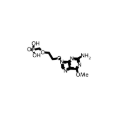 COc1nc(N)nc2c1ncn2OCCOCP(=O)(O)O